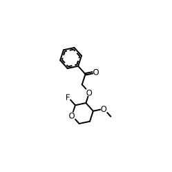 COC1CCOC(F)C1OCC(=O)c1ccccc1